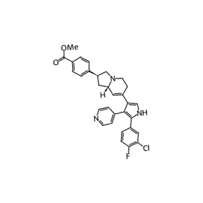 COC(=O)c1ccc([C@@H]2C[C@H]3C=C(c4c[nH]c(-c5ccc(F)c(Cl)c5)c4-c4ccncc4)CCN3C2)cc1